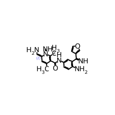 CC1=C/C(=C/N)N(N)C(C)=C1C(=O)Nc1ccc(N)c(C(=N)c2ccoc2)c1